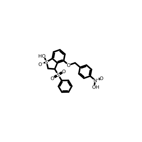 O=[N+](O)c1ccc(COc2cccc3c2C(S(=O)(=O)c2ccccc2)CS3([O-])O)cc1